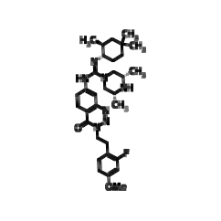 COc1ccc(CCn2nnc3cc(N/C(=N/[C@H]4CCC(C)(C)C[C@@H]4C)N4C[C@@H](C)N[C@@H](C)C4)ccc3c2=O)c(F)c1